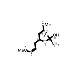 COCCC(C/C=N\OC)OC(C)(C)O